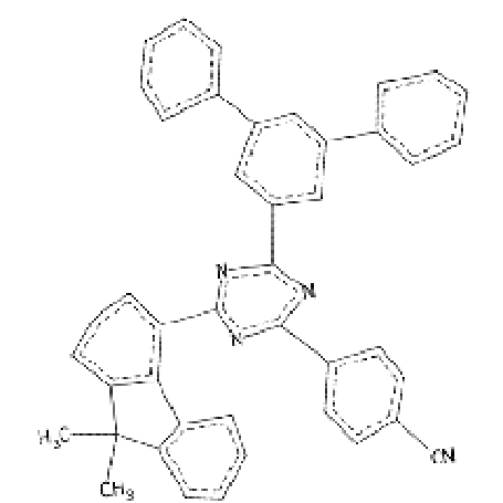 CC1(C)c2ccccc2-c2c(-c3nc(-c4ccc(C#N)cc4)nc(-c4cc(-c5ccccc5)cc(-c5ccccc5)c4)n3)cccc21